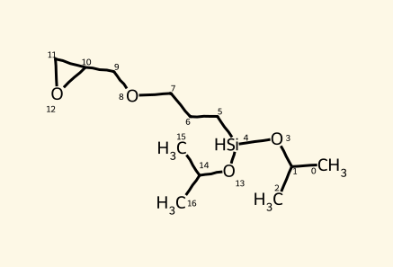 CC(C)O[SiH](CCCOCC1CO1)OC(C)C